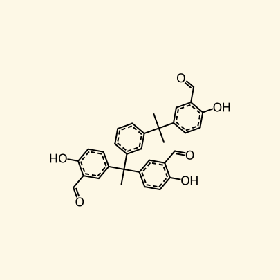 CC(C)(c1cccc(C(C)(c2ccc(O)c(C=O)c2)c2ccc(O)c(C=O)c2)c1)c1ccc(O)c(C=O)c1